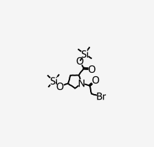 C[Si](C)(C)OC(=O)C1CC(O[Si](C)(C)C)CN1C(=O)CBr